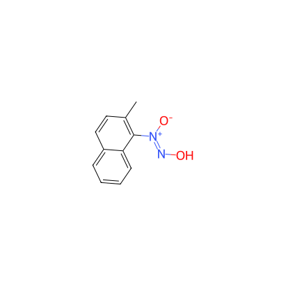 Cc1ccc2ccccc2c1[N+]([O-])=NO